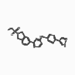 CCS(=O)(=O)N1Cc2ccc(-c3nccc(Nc4ccc(-c5cn[nH]c5)cc4)n3)cc2C1